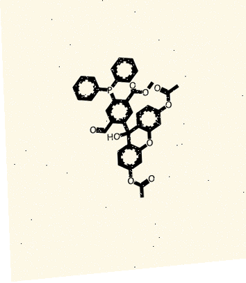 COC(=O)c1cc(C2(O)c3ccc(OC(C)=O)cc3Oc3cc(OC(C)=O)ccc32)c(C=O)cc1P(c1ccccc1)c1ccccc1